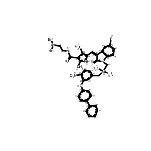 CCN(CC)CCNC(=O)c1c(C)[nH]c(/C=C2\C(=O)N(C[N+](C)(C)Cc3ccc([N+](=O)[O-])c(Oc4ccc(-c5ccccc5)cc4)c3)c3ccc(F)cc32)c1C